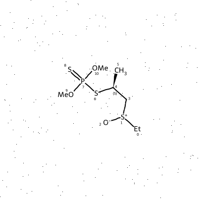 CC[S+]([O-])C[C@H](C)SP(=S)(OC)OC